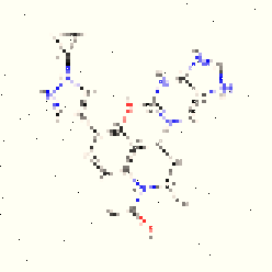 CC(=O)N1c2ccc(-c3cnn(C4CC4)c3)c(Oc3ncc4[nH]cnc4n3)c2CCC1C